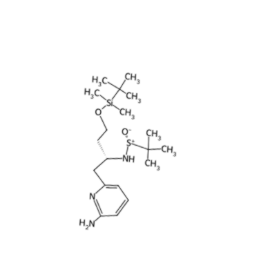 CC(C)(C)[S@@+]([O-])N[C@@H](CCO[Si](C)(C)C(C)(C)C)Cc1cccc(N)n1